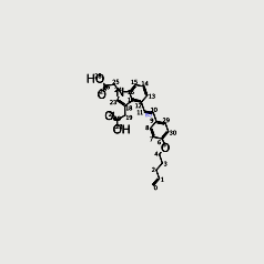 C=CCCCOc1ccc(/C=C/c2cccc3c2c(CC(=O)O)cn3CC(=O)O)cc1